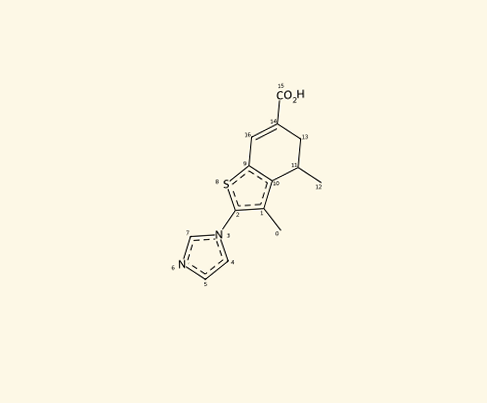 Cc1c(-n2ccnc2)sc2c1C(C)CC(C(=O)O)=C2